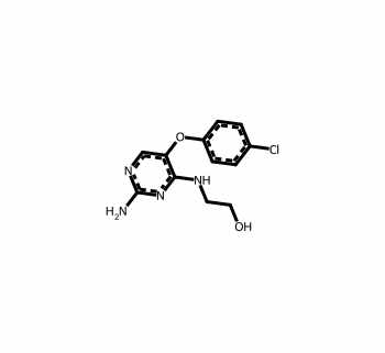 Nc1ncc(Oc2ccc(Cl)cc2)c(NCCO)n1